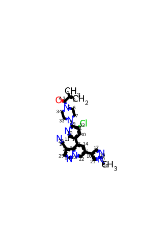 C=C(C)C(=O)N1CCN(c2ncc(-c3cc(-c4cnn(C)c4)cn4ncc(C#N)c34)cc2Cl)CC1